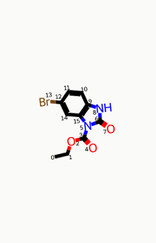 CCOC(=O)n1c(=O)[nH]c2ccc(Br)cc21